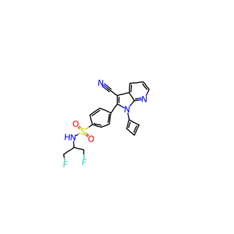 N#Cc1c(-c2ccc(S(=O)(=O)NC(CF)CF)cc2)n(C2=CC=C2)c2ncccc12